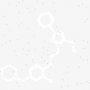 CCOc1cc(-c2ccccc2)nn1CCOc1ccc(CN2CCOCC2)cc1Cl